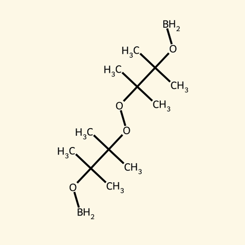 BOC(C)(C)C(C)(C)OOC(C)(C)C(C)(C)OB